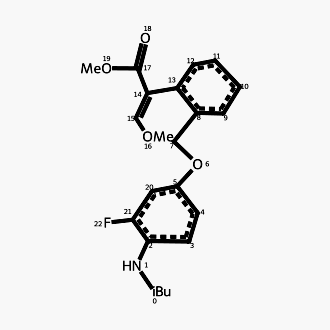 CCC(C)Nc1ccc(OCc2ccccc2/C(=C\OC)C(=O)OC)cc1F